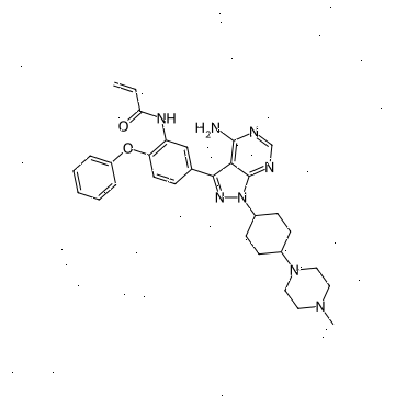 C=CC(=O)Nc1cc(-c2nn(C3CCC(N4CCN(C)CC4)CC3)c3ncnc(N)c23)ccc1Oc1ccccc1